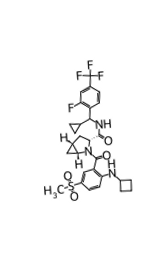 CS(=O)(=O)c1ccc(NC2CCC2)c(C(=O)N2[C@@H](C(=O)NC(c3ccc(C(F)(F)F)cc3F)C3CC3)C[C@H]3C[C@H]32)c1